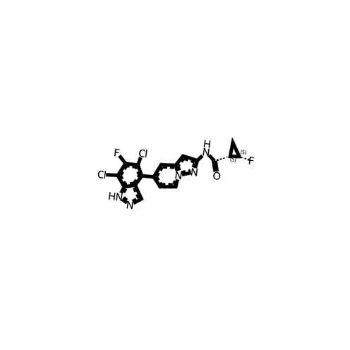 O=C(Nc1cc2cc(-c3c(Cl)c(F)c(Cl)c4[nH]ncc34)ccn2n1)[C@@H]1C[C@@H]1F